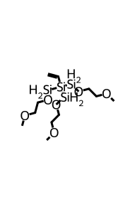 C=C[Si]([SiH2]OCCOC)([SiH2]OCCOC)[SiH2]OCCOC